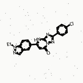 CCn1ncc2cc(-c3cc(=O)n4nc(-c5ccc(Cl)cc5)nc4[nH]3)ccc21